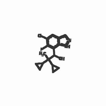 CC(C1CC1)(C1CC1)C(O)c1c(F)c(Cl)cc2cn[nH]c12